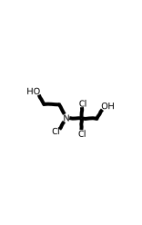 OCCN(Cl)C(Cl)(Cl)CO